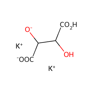 O=C([O-])C([O-])C(O)C(=O)O.[K+].[K+]